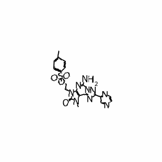 Cc1ccc(S(=O)(=O)OCCn2c(=O)n(C)c3c2nc(N)n2nc(-c4cnccn4)nc32)cc1